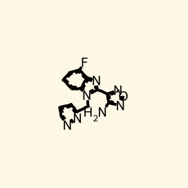 Nc1nonc1-c1nc2c(F)cccc2n1Cc1cccnn1